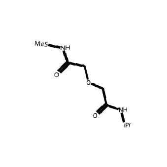 CSNC(=O)COCC(=O)NC(C)C